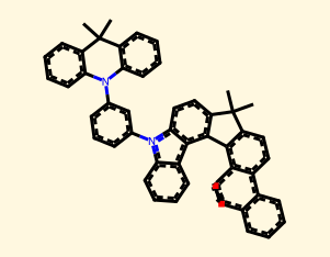 CC1(C)c2ccccc2N(c2cccc(-n3c4ccccc4c4c5c(ccc43)C(C)(C)c3ccc4c6ccccc6c6ccccc6c4c3-5)c2)c2ccccc21